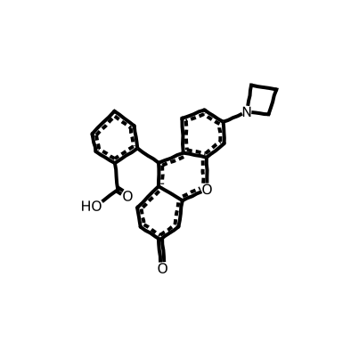 O=C(O)c1ccccc1-c1c2ccc(=O)cc-2oc2cc(N3CCC3)ccc12